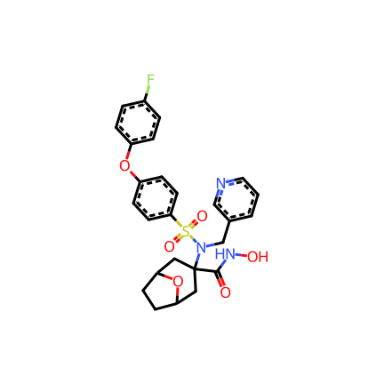 O=C(NO)C1(N(Cc2cccnc2)S(=O)(=O)c2ccc(Oc3ccc(F)cc3)cc2)CC2CCC(C1)O2